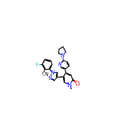 Cn1cc(-c2cnn(-c3cccc(F)c3C#N)c2)c(-c2ccc(N3CCCC3)nc2)cc1=O